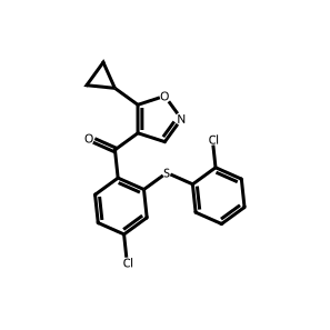 O=C(c1ccc(Cl)cc1Sc1ccccc1Cl)c1cnoc1C1CC1